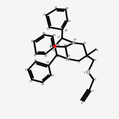 C#CCOCC1(C)CN2C(c3ccccc3)NC(c3ccccc3)N(C1)C2c1ccccc1